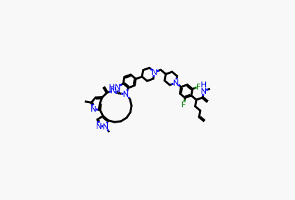 C=CCCC(C(=C)NC)c1c(F)cc(N2CCC(CN3CCC(c4ccc5c(c4)N4CCCCCCc6c(cnn6C)-c6cc(cc(C)n6)C(=C)/N=C/4N5)CC3)CC2)cc1F